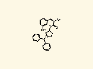 CC(=O)C(=Cc1cccc([N+](=O)[O-])c1)C(=O)OC1CCN(C(c2ccccc2)c2ccccc2)C1